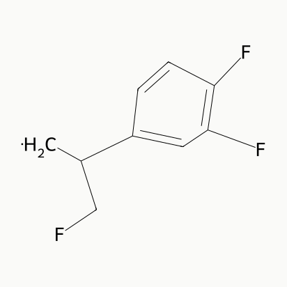 [CH2]C(CF)c1ccc(F)c(F)c1